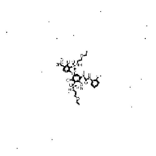 CCOCCNS(=O)(=O)c1c(Cl)ccc(NC(=O)Nc2ccccc2Cl)c1O.CCOCCNS(=O)(=O)c1c(Cl)ccc([N+](=O)[O-])c1Cl